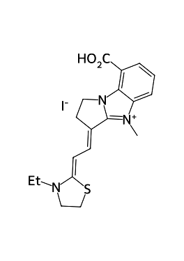 CCN1CCSC1=CC=C1CCn2c1[n+](C)c1cccc(C(=O)O)c12.[I-]